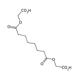 O=C(O)COC(=O)CCCCCCC(=O)OCC(=O)O